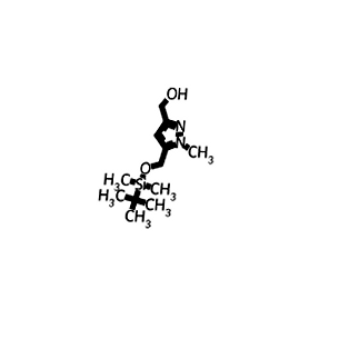 Cn1nc(CO)cc1CO[Si](C)(C)C(C)(C)C